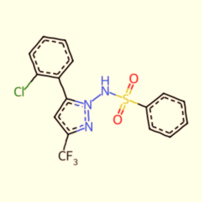 O=S(=O)(Nn1nc(C(F)(F)F)cc1-c1ccccc1Cl)c1ccccc1